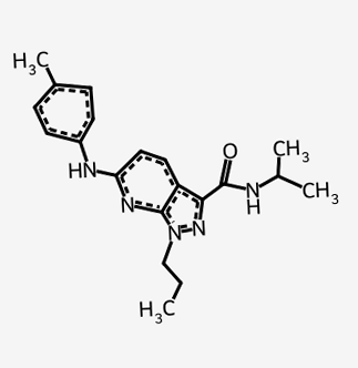 CCCn1nc(C(=O)NC(C)C)c2ccc(Nc3ccc(C)cc3)nc21